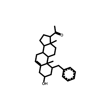 CC(=O)C1CCC2C3CC=C4CC(O)CC(Cc5ccccc5)C4(C)C3CCC12C